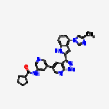 Cc1cn(-c2cccc3[nH]c(-c4n[nH]c5ncc(-c6cncc(NC(=O)C7CCCC7)c6)cc45)cc23)cn1